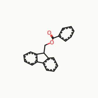 O=C(OCC1c2ccccc2-c2ccccc21)c1ccccc1